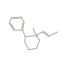 CC=C[Si]1(C)CCCCC1c1ccccc1